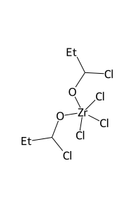 CCC(Cl)[O][Zr]([Cl])([Cl])([Cl])[O]C(Cl)CC